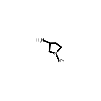 CCCN1CCC(N)C1